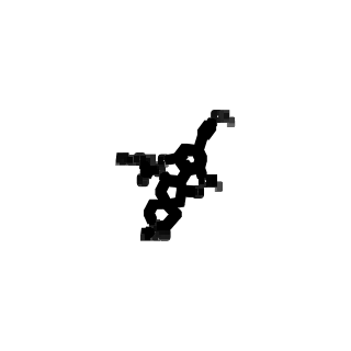 CC#Cc1cc(C)c(C2=C(OC(=O)OC)CC3(CCN(OC)CC3)CC2=O)c(C)c1